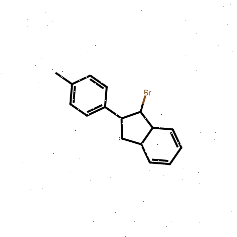 Cc1ccc(C2[C]C3C=CC=CC3C2Br)cc1